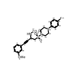 COc1cccc(C#CC(CS(=O)(=O)N2CCN(c3ccc(F)cc3)CC2)NC(=O)O)c1